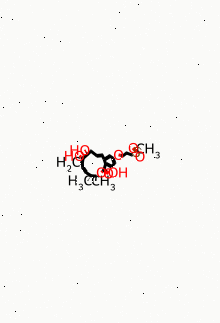 C=C1/C=C\[C@@H](C)[C@H](C)OC(=O)c2c(O)cc(OCCCS(C)(=O)=O)cc2/C=C/C[C@H](O)C1O